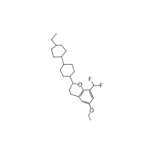 CCOc1cc2c(c(C(F)F)c1)OC(C1CCC(C3CCC(CC)CC3)CC1)CC2